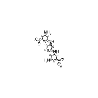 COC(=O)c1cc(N)cc(Nc2ccnc(Nc3cc(N)cc(C(=O)OC)c3)n2)c1